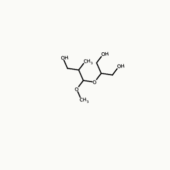 COC(OC(CO)CO)C(C)CO